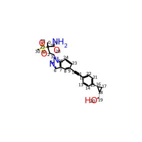 CC(CCn1ncc2cc(C#Cc3ccc([C@H]4C[C@@H]4CO)cc3)ccc21)(C(N)=O)S(C)(=O)=O